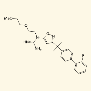 COCCOCCN(C(=N)N)c1cc(C(C)(C)c2ccc(-c3ccccc3F)cc2)no1